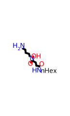 CCCCCCNC(=O)CCC(=O)N(O)CCCCCN